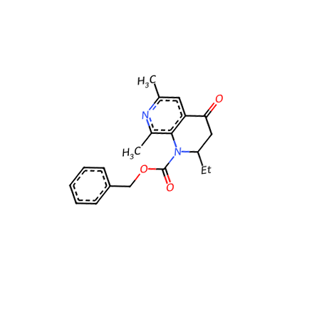 CCC1CC(=O)c2cc(C)nc(C)c2N1C(=O)OCc1ccccc1